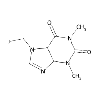 CN1C(=O)C2C(N=CN2CI)N(C)C1=O